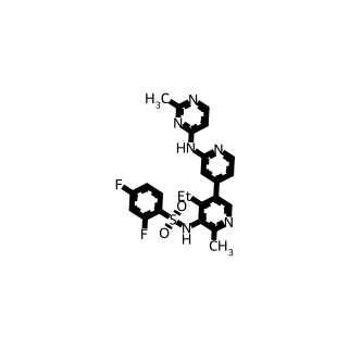 CCc1c(-c2ccnc(Nc3ccnc(C)n3)c2)cnc(C)c1NS(=O)(=O)c1ccc(F)cc1F